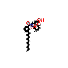 CCCCCCCCC=Cc1cccc(C(=O)N(CCCC(=O)O)OC2CCCCO2)c1